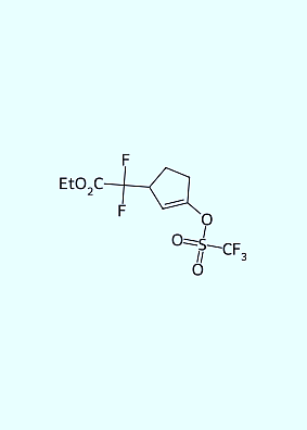 CCOC(=O)C(F)(F)C1C=C(OS(=O)(=O)C(F)(F)F)CC1